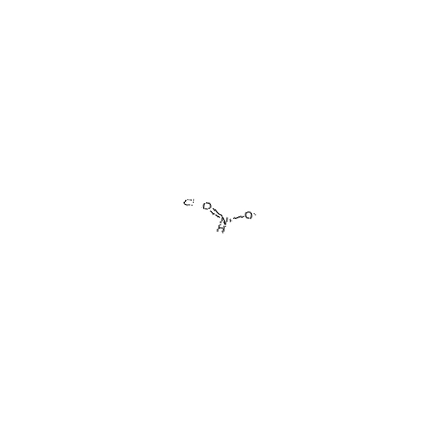 O=[NH+][O-].[C]